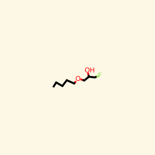 CCCCCOCC(O)CF